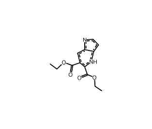 CCOC(=O)c1cc2nccc-2[nH]c1C(=O)OCC